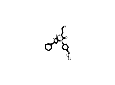 CCON=C1CCC(N(C(=O)CCCC(C)C)c2cc(C3=CCCCC3)sc2C(=O)O)CC1